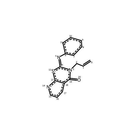 C=CCn1c(=Nc2ccccc2)sc2ncccc2c1=O